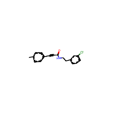 Cc1ccc(C#CC(=O)NCCc2cccc(Cl)c2)cc1